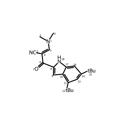 CN(C)C=C(C#N)C(=O)c1cc2c(C(C)(C)C)cc(C(C)(C)C)cc2[nH]1